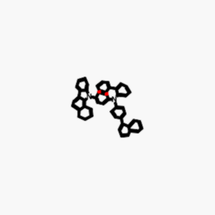 C1=Cc2c(ccc3c4ccccc4n(-c4ccc(N(c5ccc(-c6cccc7ccccc67)cc5)c5ccccc5-c5ccccc5)cc4)c23)CC1